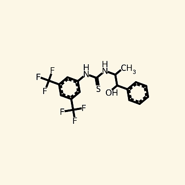 CC(NC(=S)Nc1cc(C(F)(F)F)cc(C(F)(F)F)c1)C(O)c1ccccc1